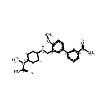 COc1ccc(-c2cccc(C(C)=O)c2)cc1CNC1CCC(N(C)C(=O)O)CC1